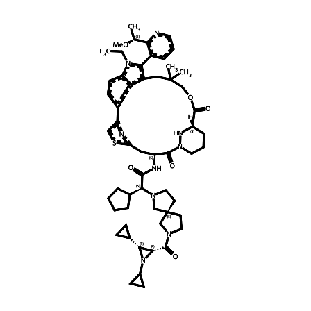 CO[C@@H](C)c1ncccc1-c1c2c3cc(ccc3n1CC(F)(F)F)-c1csc(n1)C[C@H](NC(=O)[C@H](C1CCCC1)N1CC[C@]3(CCN(C(=O)[C@H]4[C@@H](C5CC5)N4C4CC4)C3)C1)C(=O)N1CCC[C@H](N1)C(=O)OCC(C)(C)C2